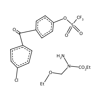 CCOCN(N)C(=O)OCC.O=C(c1ccc(Cl)cc1)c1ccc(OS(=O)(=O)C(F)(F)F)cc1